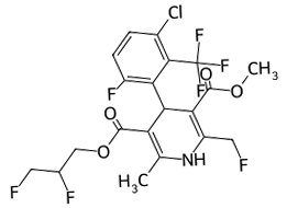 COC(=O)C1=C(CF)NC(C)=C(C(=O)OCC(F)CF)C1c1c(F)ccc(Cl)c1C(F)(F)F